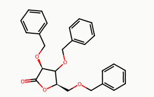 O=C1O[C@H](COCc2ccccc2)C(OCc2ccccc2)[C@@H]1OCc1ccccc1